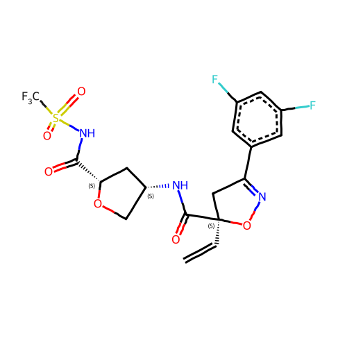 C=C[C@]1(C(=O)N[C@@H]2CO[C@H](C(=O)NS(=O)(=O)C(F)(F)F)C2)CC(c2cc(F)cc(F)c2)=NO1